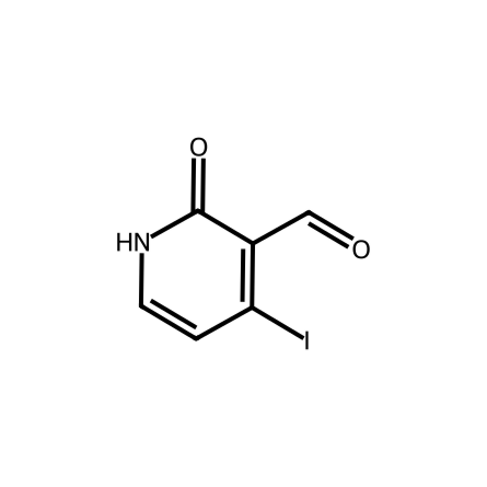 O=Cc1c(I)cc[nH]c1=O